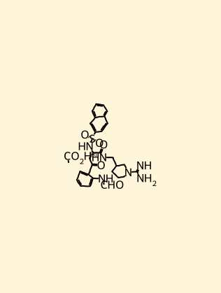 CC(=O)O.N=C(N)N1CCCC(CNC(=O)[C@@H](CC(=O)c2ccccc2NC=O)NS(=O)(=O)c2ccc3ccccc3c2)C1